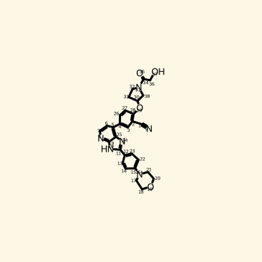 N#Cc1cc(-c2ccnc3[nH]c(-c4ccc(N5CCOCC5)cc4)nc23)ccc1OC1CCN(C(=O)CO)C1